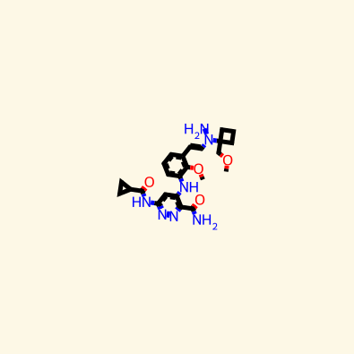 COCC1(N(N)/C=C/c2cccc(Nc3cc(NC(=O)C4CC4)nnc3C(N)=O)c2OC)CCC1